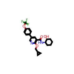 O=C(N[C@@H]1CCCC[C@H]1O)c1cc(-c2ccc(OC(F)(F)F)cc2)cnc1OCC1CC1